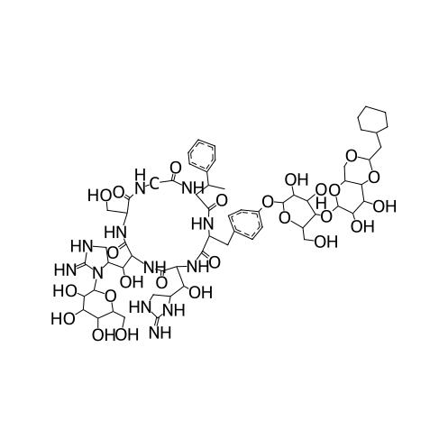 CC(c1ccccc1)C1NC(=O)CNC(=O)C(CO)NC(=O)C(C(O)C2CNC(=N)N2C2OC(CO)C(O)C(O)C2O)NC(=O)C(C(O)C2CNC(=N)N2)NC(=O)C(Cc2ccc(OC3OC(CO)C(OC4OC5COC(CC6CCCCC6)OC5C(O)C4O)C(O)C3O)cc2)NC1=O